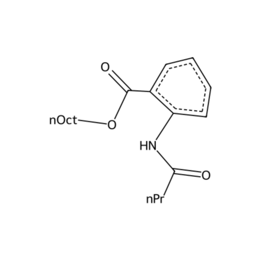 CCCCCCCCOC(=O)c1ccccc1NC(=O)CCC